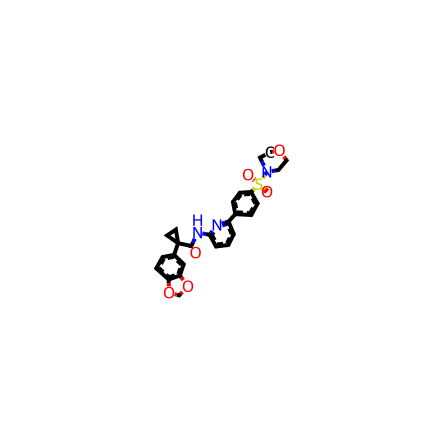 O=C(Nc1cccc(-c2ccc(S(=O)(=O)N3CCOCC3)cc2)n1)C1(c2ccc3c(c2)OCO3)CC1